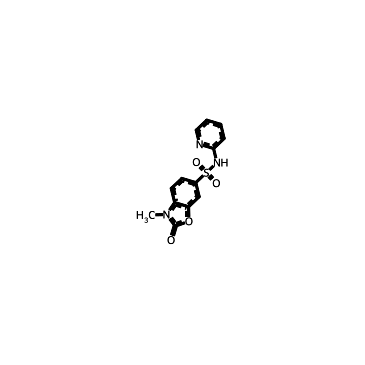 Cn1c(=O)oc2cc(S(=O)(=O)Nc3ccccn3)ccc21